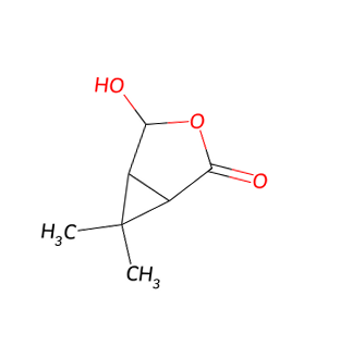 CC1(C)C2C(=O)OC(O)C21